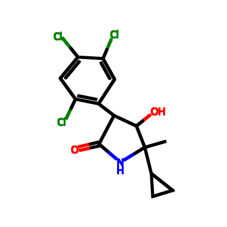 CC1(C2CC2)NC(=O)C(c2cc(Cl)c(Cl)cc2Cl)C1O